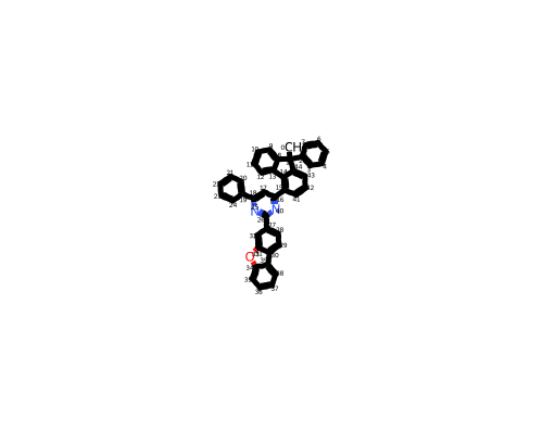 CC1(c2ccccc2)c2ccccc2-c2c(-c3cc(-c4ccccc4)nc(-c4ccc5c(c4)oc4ccccc45)n3)cccc21